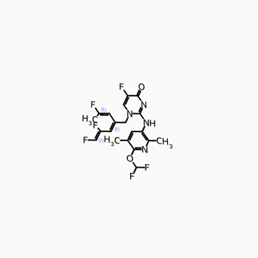 C\C(F)=C/C(=C\C(F)=C\F)Cn1cc(F)c(=O)nc1Nc1cc(C)c(OC(F)F)nc1C